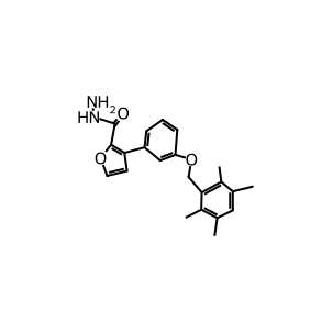 Cc1cc(C)c(C)c(COc2cccc(-c3ccoc3C(=O)NN)c2)c1C